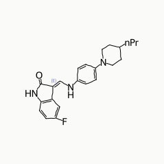 CCCC1CCN(c2ccc(N/C=C3/C(=O)Nc4ccc(F)cc43)cc2)CC1